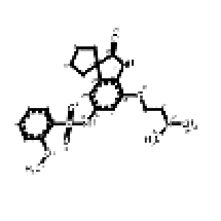 COc1ccccc1S(=O)(=O)Nc1cc(OCCN(C)C)c2c(c1)C1(CCCC1)C(=O)N2